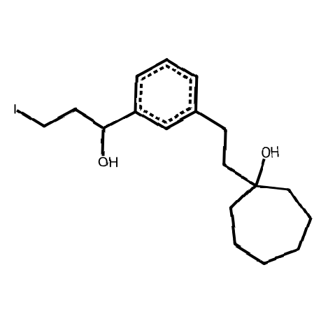 OC(CCI)c1cccc(CCC2(O)CCCCCC2)c1